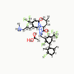 Cc1ccc(F)c(C)c1-c1cc(C(F)(F)F)c(F)c([C@H](CC(=O)O)NC(=O)C(CC(C)C)n2cc(CCCN(C)C)c(C(F)(F)F)cc2=O)c1F